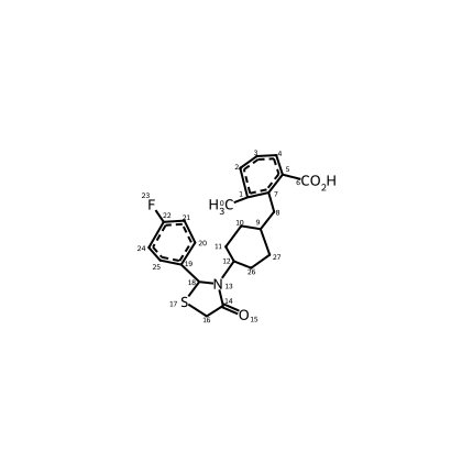 Cc1cccc(C(=O)O)c1CC1CCC(N2C(=O)CSC2c2ccc(F)cc2)CC1